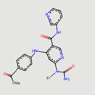 CCN(C(N)=O)c1cc(Nc2ccc(C(=O)OC)cc2)c(C(=O)Nc2cccnc2)cn1